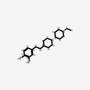 CC[C@H]1CC[C@H](C2CCC(CCc3ccc(F)c(F)c3)CC2)CC1